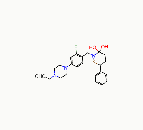 O=CCN1CCN(c2ccc(CN3SC(c4ccccc4)CCC3(O)O)c(F)c2)CC1